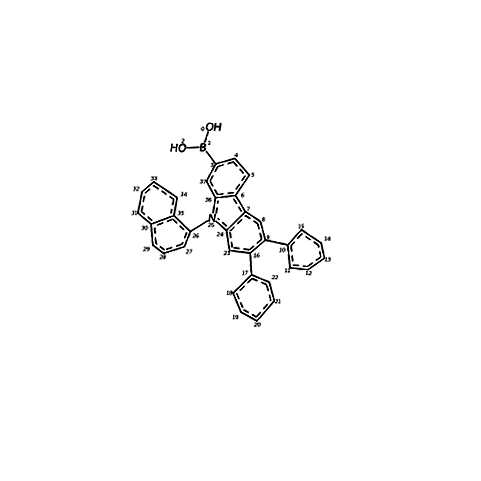 OB(O)c1ccc2c3cc(-c4ccccc4)c(-c4ccccc4)cc3n(-c3cccc4ccccc34)c2c1